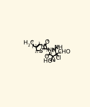 C=CC1=CN2C(=O)C(NC(=O)/C(=N\O)C(Cl)(C=O)N=N)C2SC1